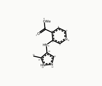 COC(=O)c1ccncc1Nc1cn[nH]c1C